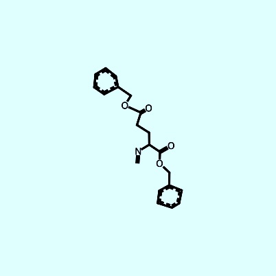 C=NC(CCC(=O)OCc1ccccc1)C(=O)OCc1ccccc1